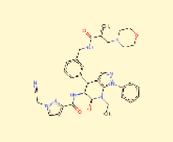 C=C(CN1CCOCC1)C(=O)NCc1cccc([C@@H]2c3cnn(-c4ccccc4)c3N(CC)C(=O)[C@H]2NC(=O)c2ccn(CC#N)n2)c1